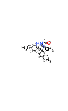 CC1=CC=C(C(c2ccc(C)cc2)C2NCC(=O)N2C)CC1